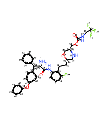 N[C@H](C(=O)Nc1cccc(F)c1CC[C@@H]1CN[C@H](COC(=O)NCC(F)(F)F)CO1)[C@H](c1ccccc1)c1ccc(Oc2ccccc2)cc1